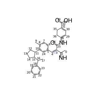 CC(=N)/C(=C/c1ccc(C)c(C2CCCC2C(C)c2ccccc2)c1)C(=O)NC1=CC=C(C(=O)O)CC1